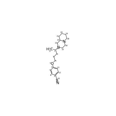 CC(CCCOc1ccc(C#N)cc1)N1CCN2CCCCC2C1